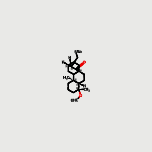 CSC[C@@H]1C(=O)[C@]23CC[C@H]1CC2[C@]1(C)CCC[C@@](C)(OC=O)[C@H]1CC3